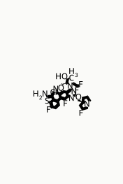 C[C@H](O)[C@H]1COc2c(Cl)c(-c3ccc(F)c4sc(N)c(C#N)c34)c(F)c3nc(OC[C@@]45CCCN4C[C@H](F)C5)nc(c23)N1CC(F)F